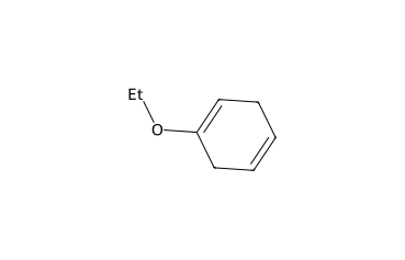 CCOC1=CCC=CC1